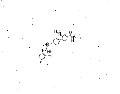 C=Nc1nc(C(=O)NC)ccc1N1CCC(N2CC3(c4nc5ccc(F)cc5c(=O)[nH]4)CC2C3)CC1